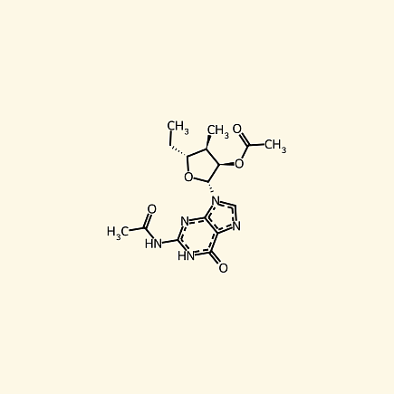 CC[C@H]1O[C@@H](n2cnc3c(=O)[nH]c(NC(C)=O)nc32)[C@H](OC(C)=O)[C@@H]1C